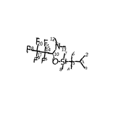 CC(C)C(C)(C)[Si](C)(C)OC(N(C)C)C(F)(F)C(F)(F)F